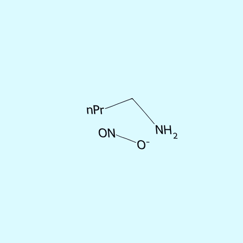 CCCCN.O=[NH+][O-]